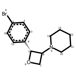 Brc1ccc([C@H]2OCC2N2CCCCC2)cc1